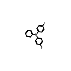 Fc1ccc(B(c2ccccc2)c2ccc(F)cc2)cc1